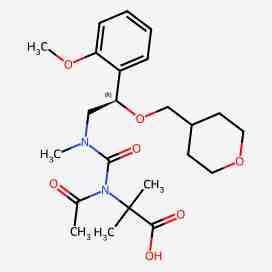 COc1ccccc1[C@H](CN(C)C(=O)N(C(C)=O)C(C)(C)C(=O)O)OCC1CCOCC1